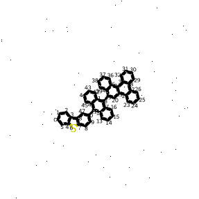 c1ccc2c(c1)sc1ccc(-c3c4ccccc4c(-c4cc5c6ccccc6c6ccccc6c5c5ccccc45)c4ccccc34)cc12